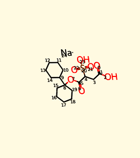 O=C(O)CC(C(=O)OC1(C2CCCCC2)CCCCC1)S(=O)(=O)O.[Na]